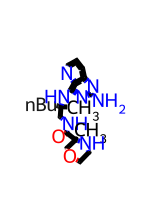 CCCCC(C)(CNC(=O)[C@@]1(C)COCCN1)Nc1nc(N)nc2cccnc12